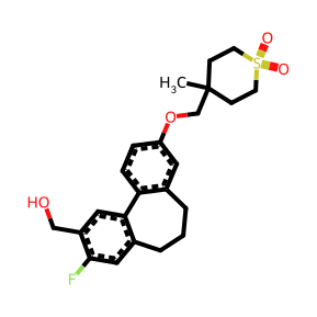 CC1(COc2ccc3c(c2)CCCc2cc(F)c(CO)cc2-3)CCS(=O)(=O)CC1